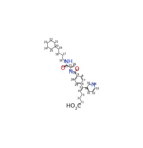 O=C(O)CCCC=C(c1ccc(-c2nc(C(=O)NCCCCC3CCCCC3)co2)cc1)c1cccnc1